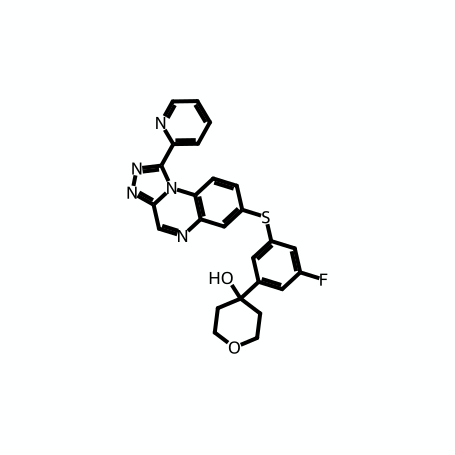 OC1(c2cc(F)cc(Sc3ccc4c(c3)ncc3nnc(-c5ccccn5)n34)c2)CCOCC1